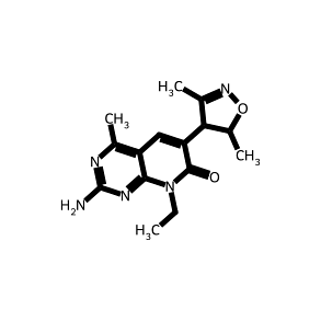 CCn1c(=O)c(C2C(C)=NOC2C)cc2c(C)nc(N)nc21